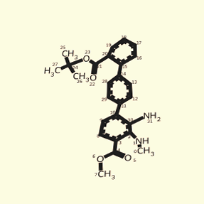 CNc1c(C(=O)OC)ccc(-c2ccc(-c3ccccc3C(=O)OC(C)(C)C)cc2)c1N